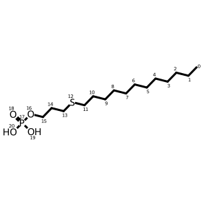 CCCCCCCCCCCCSCCCOP(=O)(O)O